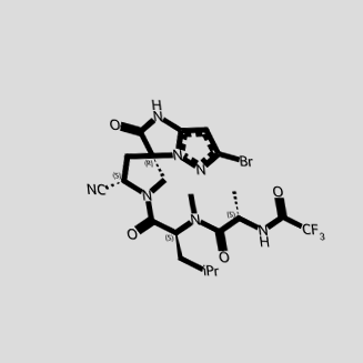 CC(C)C[C@@H](C(=O)N1C[C@]2(C[C@H]1C#N)C(=O)Nc1cc(Br)nn12)N(C)C(=O)[C@H](C)NC(=O)C(F)(F)F